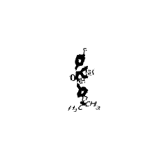 CC(C)COc1ccc(CNC(=O)[C@H](Cc2ccc(F)cc2)C2CCNCC2)cc1